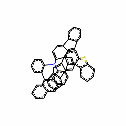 C1=CC2(C3=Cc4ccccc4C3=C1)C1=Cc3ccccc3C1=CC=C2N(c1ccccc1-c1cccc2ccccc12)c1ccccc1-c1cccc2sc3ccccc3c12